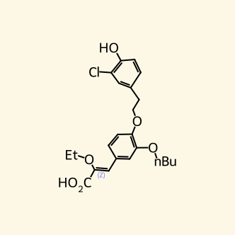 CCCCOc1cc(/C=C(\OCC)C(=O)O)ccc1OCCc1ccc(O)c(Cl)c1